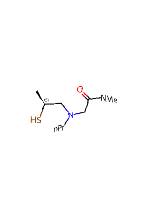 CCCN(CC(=O)NC)C[C@H](C)S